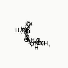 CCOC(=O)NCC1CCCC(CNC(=O)OCCCN(C)C(=O)NCC2=CCCC=C2)C1